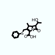 CC(O)C1C(=O)N2C(C(=O)O)=C(CSc3ccccc3)C(C)C12